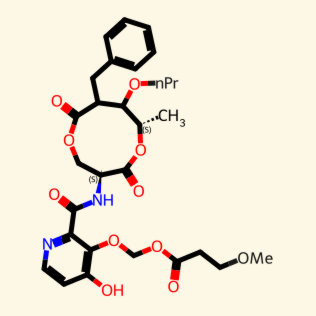 CCCOC1C(Cc2ccccc2)C(=O)OC[C@H](NC(=O)c2nccc(O)c2OCOC(=O)CCOC)C(=O)O[C@H]1C